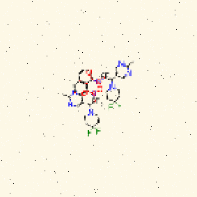 Cc1ncc(C(CN(ON(CC(c2cnc(C)nc2)N2CCC(F)(F)CC2)C(=O)c2ccccc2OC(F)(F)F)C(=O)c2ccccc2OC(F)(F)F)N2CCC(F)(F)CC2)cn1